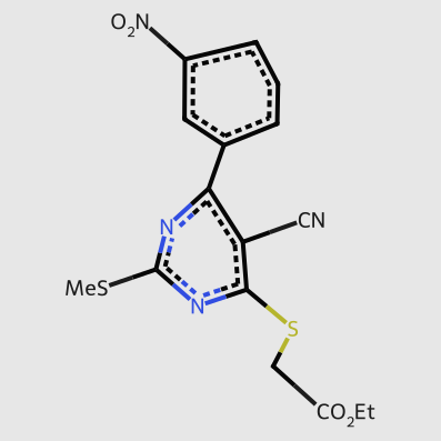 CCOC(=O)CSc1nc(SC)nc(-c2cccc([N+](=O)[O-])c2)c1C#N